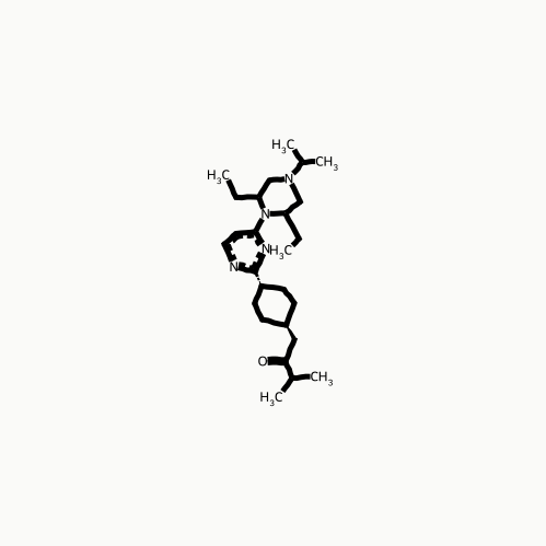 CCC1CN(C(C)C)CC(CC)N1c1ccnc([C@H]2CC[C@H](CC(=O)C(C)C)CC2)n1